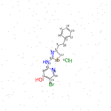 Cl.Oc1cc(Nc2nc(CCc3ccccc3)cs2)ncc1Br